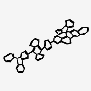 c1ccc(-n2c3ccccc3c3cc(-c4c5ccccc5c(-c5ccc(-c6ccc7c8c(ccc7c6)-c6cc7ccccc7cc6C86c7ccccc7-c7ccccc76)cc5)c5ccccc45)ccc32)cc1